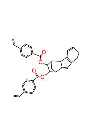 C=Cc1ccc(C(=O)OC2C3CC(C2OC(=O)c2ccc(C=C)cc2)C2C4=C(CCC=C4)CC32)cc1